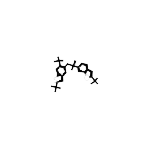 CC(C)(C)c1cc2ccc(C(C)(C)Cc3cc4cc(C(C)(C)C)sc4cc3C(C)(C)C)cc2o1